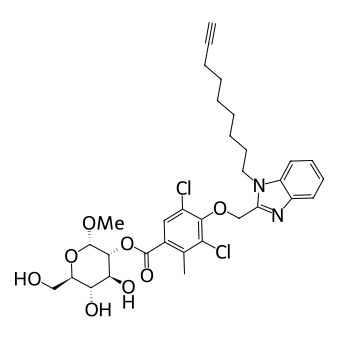 C#CCCCCCCCn1c(COc2c(Cl)cc(C(=O)O[C@H]3[C@@H](OC)O[C@H](CO)[C@@H](O)[C@@H]3O)c(C)c2Cl)nc2ccccc21